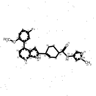 COc1ccc(F)cc1-c1ccnc2[nH]c(C3=CCC(C(=O)Nc4cnn(C)c4)CC3)cc12